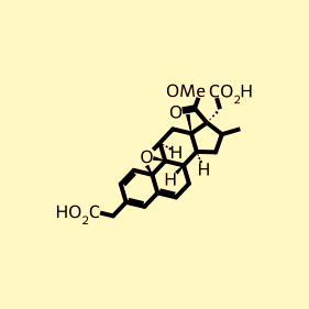 COC(=O)[C@@]1(CC(=O)O)C(C)C[C@H]2[C@@H]3CC=C4C=C(CC(=O)O)C=C[C@]4(C)[C@@]34O[C@H]4C[C@@]21C